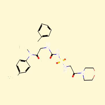 COc1ccc(N(C)C(=O)[C@H](Cc2ccccc2)NC(=O)NS(=O)(=O)NCC(=O)N2CCOCC2)cc1